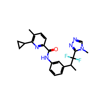 Cc1ccc(C(=O)Nc2cccc(C(C)C(F)(F)c3nncn3C)c2)nc1C1CC1